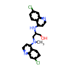 CN(CC(CO)Nc1ccnc2cc(Cl)ccc12)c1ccnc2cc(Cl)ccc12